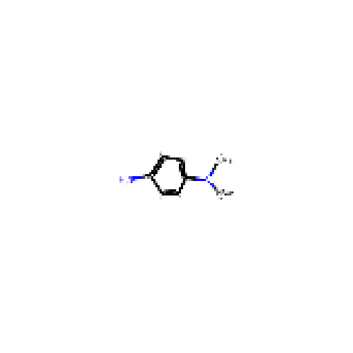 CNN(NC)c1ccc(N)cc1